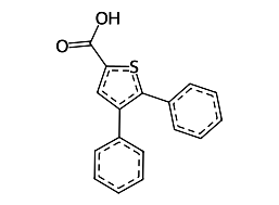 O=C(O)c1cc(-c2ccccc2)c(-c2ccccc2)s1